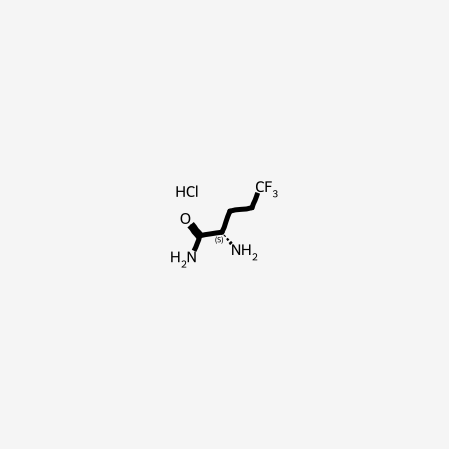 Cl.NC(=O)[C@@H](N)CCC(F)(F)F